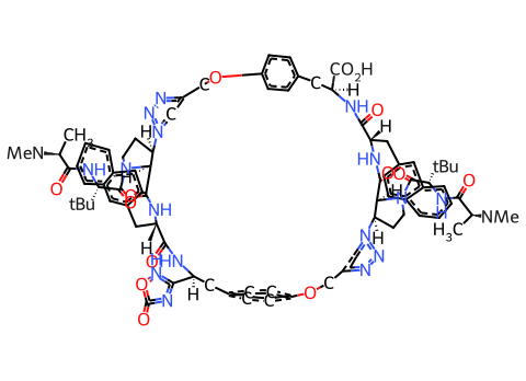 CN[C@@H](C)C(=O)N[C@H](C(=O)N1CC[C@@H]2[C@H]1C(=O)N[C@@H](Cc1ccc3ccccc3c1)C(=O)N[C@H](C(=O)O)Cc1ccc(cc1)OCc1cn(nn1)[C@@H]1CCN(C(=O)[C@@H](NC(=O)[C@H](C)NC)C(C)(C)C)[C@@H]1C(=O)N[C@@H](Cc1ccc3ccccc3c1)C(=O)N[C@H](c1nc(=O)o[nH]1)Cc1ccc(cc1)OCc1cn2nn1)C(C)(C)C